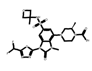 CC(C)C(=O)N1CCN(c2cc(S(=O)(=O)NC3(C)COC3)cc3c2n(C)c(=O)n3-c2nnc(C(F)F)s2)C[C@H]1C